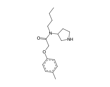 CCCCN(C(=O)COc1ccc(C)cc1)C1CCNC1